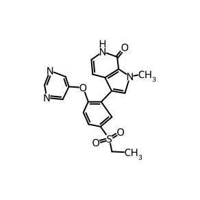 CCS(=O)(=O)c1ccc(Oc2cncnc2)c(-c2cn(C)c3c(=O)[nH]ccc23)c1